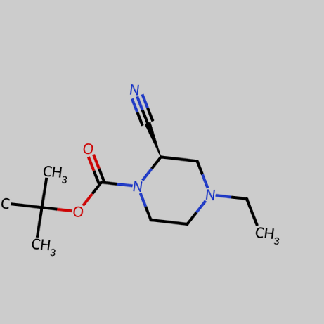 CCN1CCN(C(=O)OC(C)(C)C)[C@@H](C#N)C1